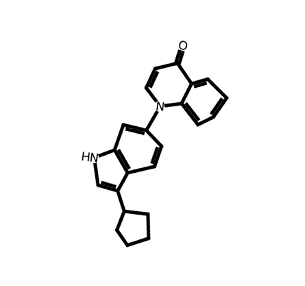 O=c1ccn(-c2ccc3c(C4CCCC4)c[nH]c3c2)c2ccccc12